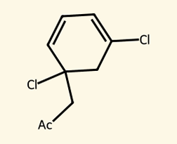 CC(=O)CC1(Cl)C=CC=C(Cl)C1